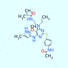 CCCN(CCNC(=O)C(C)C)c1nc(Sc2ccc(NC(C)=O)cc2)nc(Nc2cc(C)[nH]n2)c1OC